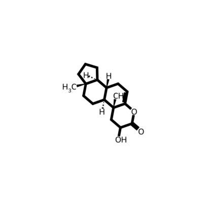 C[C@@]12CCC[C@H]1[C@@H]1CC=C3OC(=O)C(O)C[C@]3(C)[C@H]1CC2